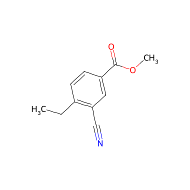 CCc1ccc(C(=O)OC)cc1C#N